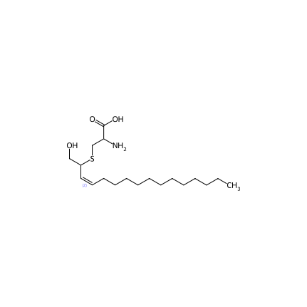 CCCCCCCCCCCC/C=C\C(CO)SCC(N)C(=O)O